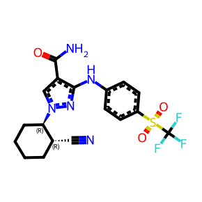 N#C[C@@H]1CCCC[C@H]1n1cc(C(N)=O)c(Nc2ccc(S(=O)(=O)C(F)(F)F)cc2)n1